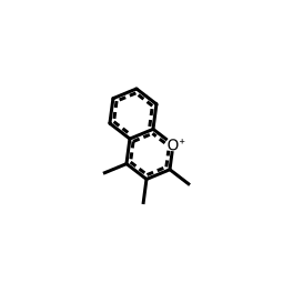 Cc1[o+]c2ccccc2c(C)c1C